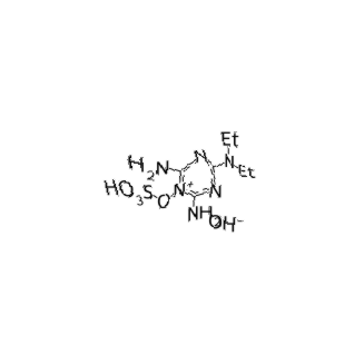 CCN(CC)c1nc(N)[n+](OS(=O)(=O)O)c(N)n1.[OH-]